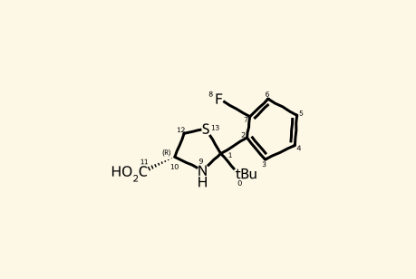 CC(C)(C)C1(c2ccccc2F)N[C@H](C(=O)O)CS1